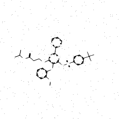 COc1ccccc1Oc1c(NS(=O)(=O)c2ccc(C(C)(C)C)cc2)nc(-c2ncccn2)nc1OCCC(=O)OC(C)C